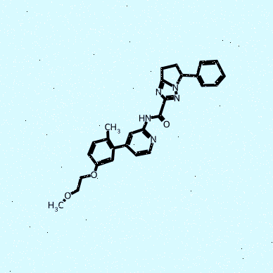 COCCOc1ccc(C)c(-c2ccnc(NC(=O)c3nc4n(n3)C(c3ccccc3)CC4)c2)c1